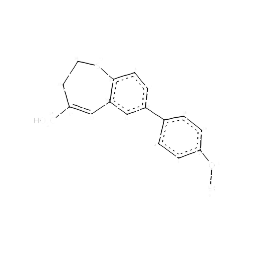 CCOc1ccc(-c2ccc3c(c2)C=C(C(=O)O)CCS3)cc1